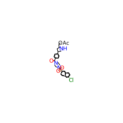 CC(=O)OCC1CC(c2ccc(C(=O)N3CCN(S(=O)(=O)c4ccc5cc(Cl)ccc5c4)CC3)cc2)CN1